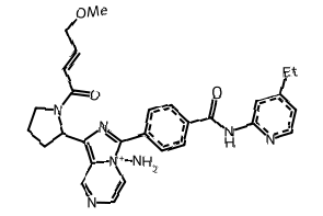 CCc1ccnc(NC(=O)c2ccc(C3=NC(C4CCCN4C(=O)/C=C/COC)=C4C=NC=C[N+]34N)cc2)c1